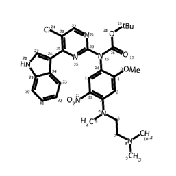 COc1cc(N(C)CCN(C)C)c([N+](=O)[O-])cc1N(C(=O)OC(C)(C)C)c1ncc(Cl)c(-c2c[nH]c3ccccc23)n1